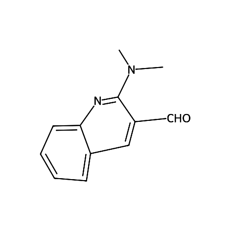 CN(C)c1nc2ccccc2cc1C=O